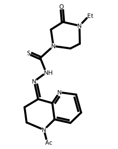 CCN1CCN(C(=S)N/N=C2/CCN(C(C)=O)c3cccnc32)CC1=O